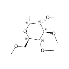 COC[C@H]1O[C@H](C)[C@H](OC)[C@@H](OC)[C@@H]1OC